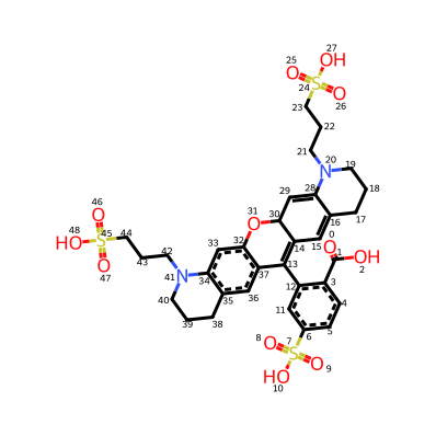 O=C(O)c1ccc(S(=O)(=O)O)cc1C1=C2C=C3CCCN(CCCS(=O)(=O)O)C3=CC2Oc2cc3c(cc21)CCCN3CCCS(=O)(=O)O